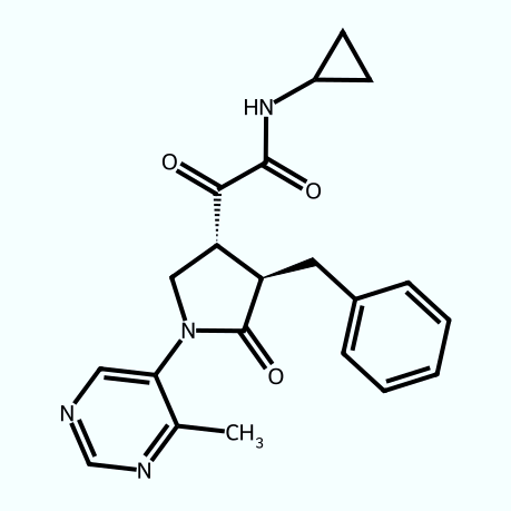 Cc1ncncc1N1C[C@H](C(=O)C(=O)NC2CC2)[C@@H](Cc2ccccc2)C1=O